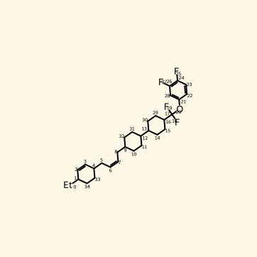 CCC1C=CC(C/C=C\CC2CCC(C3CCC(C(F)(F)Oc4ccc(F)c(F)c4)CC3)CC2)CC1